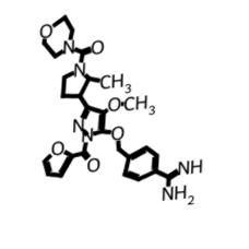 COc1c(C2CCN(C(=O)N3CCOCC3)C2C)nn(C(=O)c2ccco2)c1OCc1ccc(C(=N)N)cc1